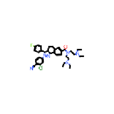 CCN(CC)CCN(CCN(CC)CC)C(=O)c1ccc2c(c1)CCC1C2=NN(c2ccc(C#N)c(Cl)c2)C1c1ccc(F)cc1